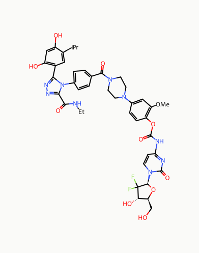 CCNC(=O)c1nnc(-c2cc(C(C)C)c(O)cc2O)n1-c1ccc(C(=O)N2CCN(c3ccc(OC(=O)Nc4ccn([C@H]5O[C@@H](CO)[C@H](O)C5(F)F)c(=O)n4)c(OC)c3)CC2)cc1